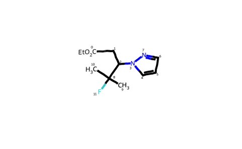 CCOC(=O)CC(n1cccn1)C(C)(C)F